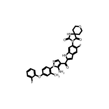 Cc1cc(Oc2ccccc2F)ccc1-n1ncc(C(=O)c2cc3cc(F)c(N4C(=O)NC5(CCOCC5)C4=O)cc3[nH]2)c1N